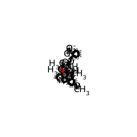 CC[C@]12C=CCN3CC[C@@]4(c5ccc(OC)cc5N(C)[C@H]4C(O)(CNC(=O)OCc4ccccc4[N+](=O)[O-])[C@@H]1OC(C)=O)[C@@H]32